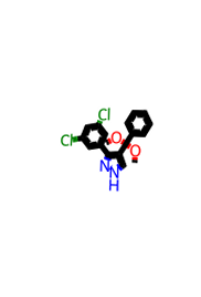 COC(OC)(c1ccccc1)c1c[nH]nc1-c1cc(Cl)cc(Cl)c1